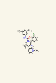 Cc1cc(C)cc(NC(=O)N2CC3(CC3)c3c4cccn(C)c-4nc3C2c2cccc(F)c2)c1